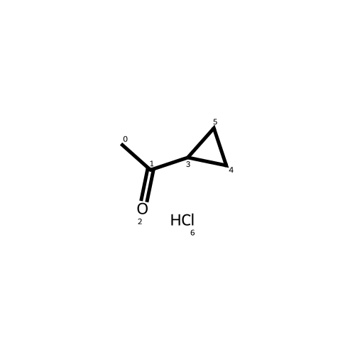 CC(=O)C1CC1.Cl